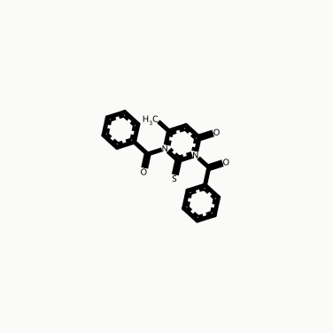 Cc1cc(=O)n(C(=O)c2ccccc2)c(=S)n1C(=O)c1ccccc1